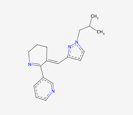 CC(C)Cn1ccc(C=C2CCCN=C2c2cccnc2)n1